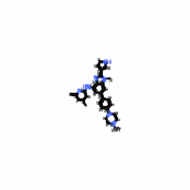 Cc1cc(C)nc(Nc2cc(-c3ccc(N4CCN(C(C)C)CC4)cc3)cc3c2nc(-c2cc[nH]c2)n3C)c1